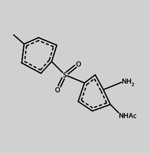 CC(=O)Nc1ccc(S(=O)(=O)c2ccc(C)cc2)cc1N